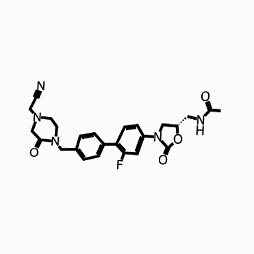 CC(=O)NC[C@H]1CN(c2ccc(-c3ccc(CN4CCN(CC#N)CC4=O)cc3)c(F)c2)C(=O)O1